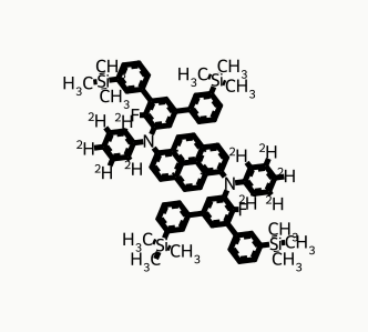 [2H]c1c([2H])c([2H])c(N(c2cc(-c3cccc([Si](C)(C)C)c3)cc(-c3cccc([Si](C)(C)C)c3)c2F)c2ccc3ccc4c(N(c5cc(-c6cccc([Si](C)(C)C)c6)cc(-c6cccc([Si](C)(C)C)c6)c5F)c5c([2H])c([2H])c([2H])c([2H])c5[2H])ccc5ccc2c3c54)c([2H])c1[2H]